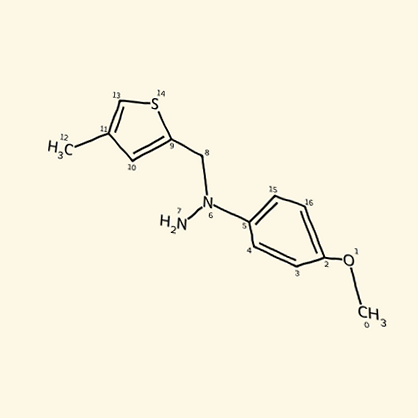 COc1ccc(N(N)Cc2cc(C)cs2)cc1